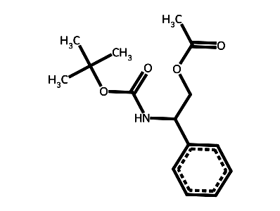 CC(=O)OCC(NC(=O)OC(C)(C)C)c1ccccc1